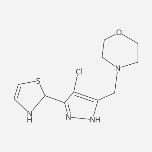 Clc1c(C2NC=CS2)n[nH]c1CN1CCOCC1